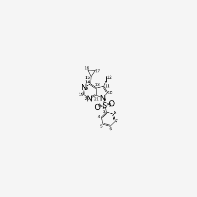 O=S(=O)(c1ccccc1)n1cc(I)c2c(C3CC3)ncnc21